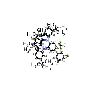 CC(C)(C)c1ccc2c3ccc(C(C)(C)C)cc3n(-c3cc(-c4cc(F)cc(F)c4)c(C(F)(F)F)cc3-n3c4cc(C(C)(C)C)ccc4c4ccc(C(C)(C)C)cc43)c2c1